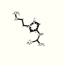 COCCn1cc(NC(C)C)cn1